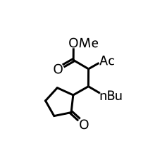 CCCCC(C1CCCC1=O)C(C(C)=O)C(=O)OC